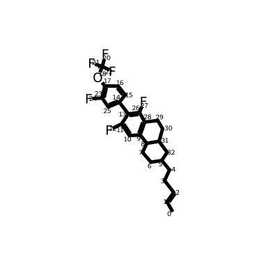 C/C=C/CCC1CCC2c3cc(F)c(-c4ccc(OC(F)(F)F)c(F)c4)c(F)c3CCC2C1